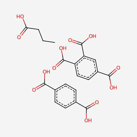 CCCC(=O)O.O=C(O)c1ccc(C(=O)O)c(C(=O)O)c1.O=C(O)c1ccc(C(=O)O)cc1